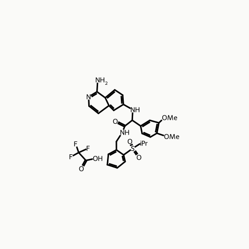 COc1ccc(C(Nc2ccc3c(N)nccc3c2)C(=O)NCc2ccccc2S(=O)(=O)C(C)C)cc1OC.O=C(O)C(F)(F)F